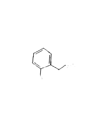 Clc1ccccc1CC(Cl)(Cl)Cl